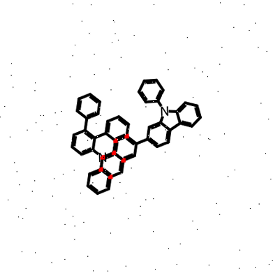 c1ccc(-c2ccccc2-c2c(-c3ccccc3)cccc2N(c2ccccc2)c2ccc(-c3ccc4c5ccccc5n(-c5ccccc5)c4c3)cc2)cc1